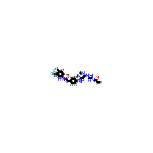 C=CC(=O)NCCNc1cc(Nc2ccc(CC(=O)Nc3ccc(C)c(C(F)(F)F)c3)cc2)ncn1